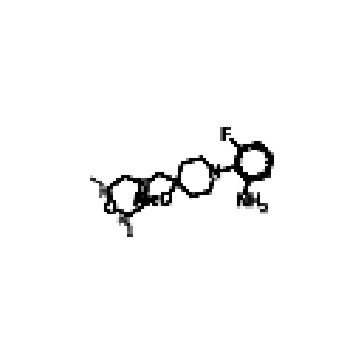 COC1(CN2C[C@@H](C)O[C@@H](C)C2)CCN(c2c(N)cccc2F)CC1